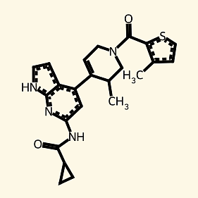 Cc1ccsc1C(=O)N1CC=C(c2cc(NC(=O)C3CC3)nc3[nH]ccc23)C(C)C1